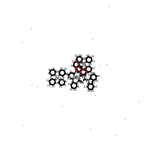 c1ccc([Si](c2ccccc2)(c2ccccc2)c2cccc(-c3cc(-n4c5ccccc5c5ccccc54)nc(-c4ccccc4-c4nc(-c5cccc([Si](c6ccccc6)(c6ccccc6)c6ccccc6)c5)nc(-n5c6ccccc6c6ccccc65)n4)n3)c2)cc1